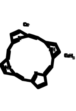 C1=Cc2cc3ccc(cc4nc(cc5ccc(cc1n2)[nH]5)C=C4)[nH]3.[Cu].[GaH3]